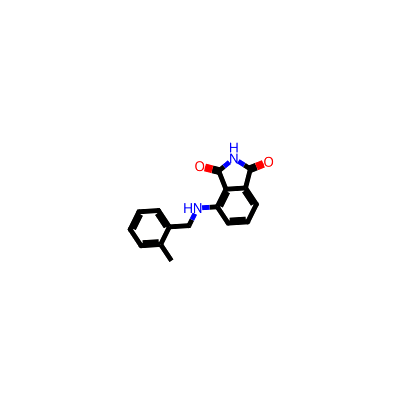 Cc1ccccc1CNc1cccc2c1C(=O)NC2=O